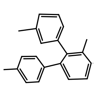 Cc1ccc(-c2cc[c]c(C)c2-c2cccc(C)c2)cc1